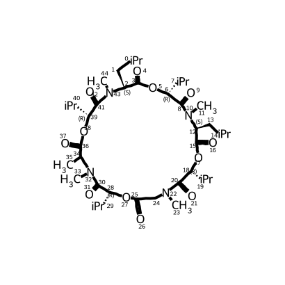 CC(C)C[C@H]1C(=O)O[C@H](C(C)C)C(=O)N(C)[C@@H](CC(C)C)C(=O)O[C@H](C(C)C)C(=O)N(C)CC(=O)O[C@H](C(C)C)C(=O)N(C)C(C)C(=O)O[C@H](C(C)C)C(=O)N1C